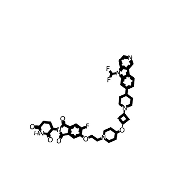 O=C1CCC(N2C(=O)c3cc(F)c(OCCN4CCC(O[C@H]5C[C@H](N6CCC(c7ccc8c9cnccc9n(C(F)F)c8c7)CC6)C5)CC4)cc3C2=O)C(=O)N1